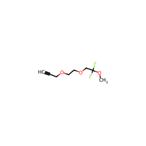 C#CCOCCOCC(F)(F)OC